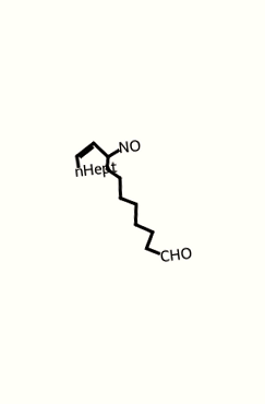 CCCCCCC/C=C\C(CCCCCCCC=O)N=O